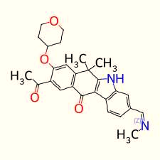 C/N=C\c1ccc2c3c([nH]c2c1)C(C)(C)c1cc(OC2CCOCC2)c(C(C)=O)cc1C3=O